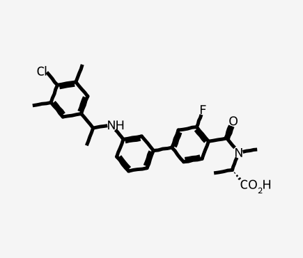 Cc1cc(C(C)Nc2cccc(-c3ccc(C(=O)N(C)[C@@H](C)C(=O)O)c(F)c3)c2)cc(C)c1Cl